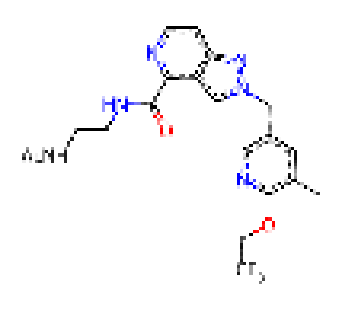 CC(=O)NCCNC(=O)c1nccc2nn(Cc3cnc(OCC(F)(F)F)c(C)c3)cc12